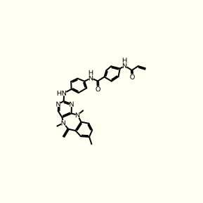 C=CC(=O)Nc1ccc(C(=O)Nc2ccc(Nc3ncc4c(n3)N(C)c3ccc(C)cc3C(=C)N4C)cc2)cc1